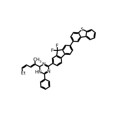 CC/C=C\C=C(/C)C1N=C(c2ccc3c(c2)C(F)(F)c2cc(-c4ccc5sc6ccccc6c5c4)ccc2-3)N=C(c2ccccc2)N1